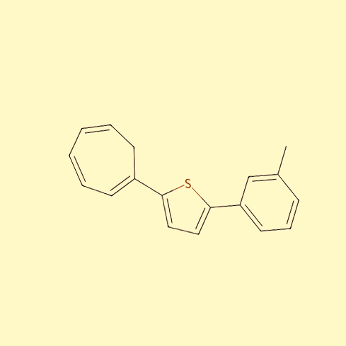 Cc1cccc(-c2ccc(C3=CC=CC=CC3)s2)c1